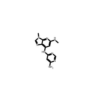 CNc1cc(Nc2cc(N)ncn2)c2ncn(C)c2n1